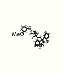 COc1cccc(SC2CN(C(C)(C)CCC(C(N)=O)(c3ccccc3)c3ccccc3)C2)c1